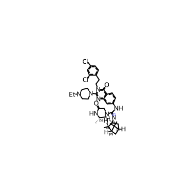 CCN1CCN(c2nc3cc(N/C(=N/[C@H]4C[C@@H]5C[C@H]([C@@H]4C)C5(C)C)N4CC(=O)N[C@@H](C)C4)ccc3c(=O)n2CCc2ccc(Cl)cc2Cl)CC1